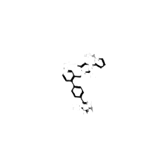 CCCc1cn(-c2cccn2C(C)CC)c(=O)n1Cc1cnccc1-c1ccc(-c2nnn[nH]2)cc1